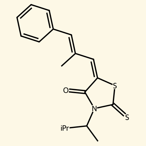 CC(=C\c1ccccc1)/C=C1/SC(=S)N(C(C)C(C)C)C1=O